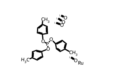 Cc1ccc(OP(Oc2ccc(C)cc2)Oc2ccc(C)cc2)cc1.[C]=O.[C]=O.[C]=O.[C]=O.[Ru]